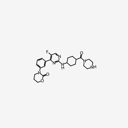 O=C(C1CCC(Nc2ncc(F)c(-c3cccc(N4CCCOC4=O)c3)n2)CC1)N1CCNCC1